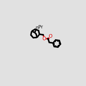 CCCC1CC2CCC1CCC2COC(=O)Cc1ccccc1